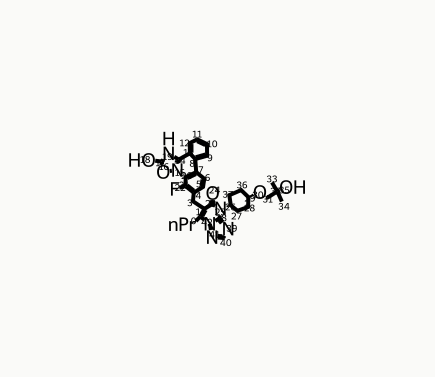 CCCc1c(Cc2ccc(-c3ccccc3C3=NOC(O)N3)cc2F)c(=O)n([C@H]2CC[C@H](OCC(C)(C)O)CC2)c2ncnn12